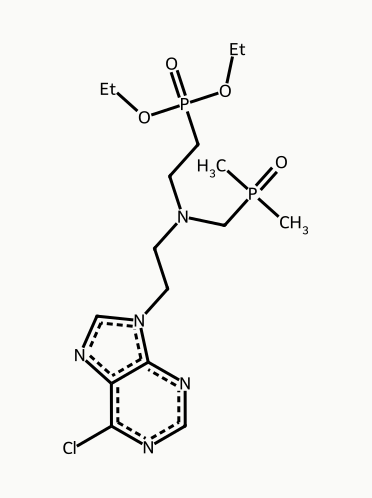 CCOP(=O)(CCN(CCn1cnc2c(Cl)ncnc21)CP(C)(C)=O)OCC